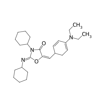 CCN(CC)C1=CCC(/C=C2/OC(=NC3CCCCC3)N(C3CCCCC3)C2=O)C=C1